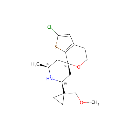 COCC1([C@@H]2C[C@]3(C[C@H](C)N2)OCCc2cc(Cl)sc23)CC1